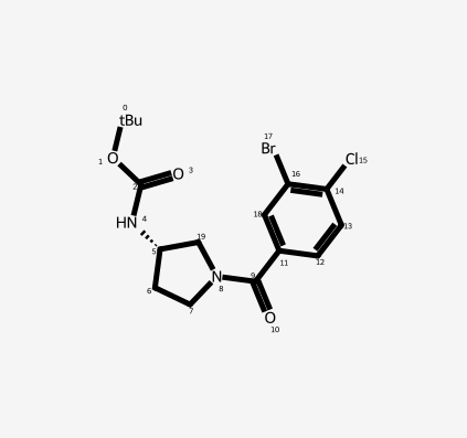 CC(C)(C)OC(=O)N[C@H]1CCN(C(=O)c2ccc(Cl)c(Br)c2)C1